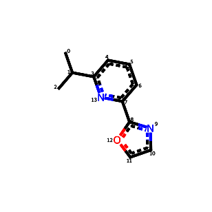 CC(C)c1cccc(-c2ncco2)n1